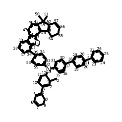 CC1C=C(C2=CC=CCC2)C=CC1N(c1c#cc(-c2ccc(-c3ccccc3)cc2)cc1)c1ccc(-c2cccc3c2oc2c4c(ccc23)C(C)(C)C2=C4CCC=C2)cc1